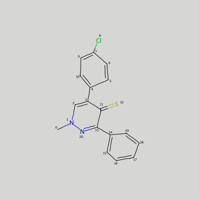 Cn1cc(-c2ccc(Cl)cc2)c(=S)c(-c2ccccc2)n1